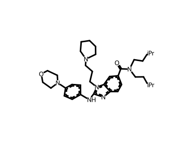 CC(C)CCN(CCC(C)C)C(=O)c1ccc2nc(Nc3ccc(N4CCOCC4)cc3)n(CCCN3CCCCC3)c2c1